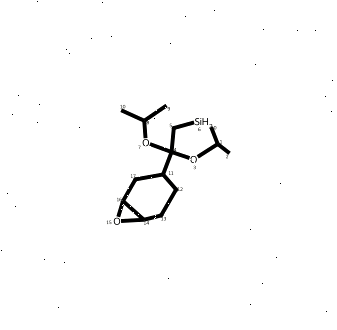 CC(C)OC(C[SiH3])(OC(C)C)C1CCC2OC2C1